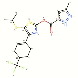 Cc1cc(C(=O)Oc2nc(C3=CCC(C(F)(F)F)CC3)c(SC(C)C)s2)[nH]n1